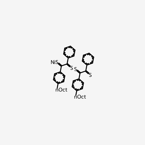 CCCCCCCCc1ccc(C(=S)C(=S)c2ccccc2)cc1.CCCCCCCCc1ccc(C(=S)C(=S)c2ccccc2)cc1.[Ni]